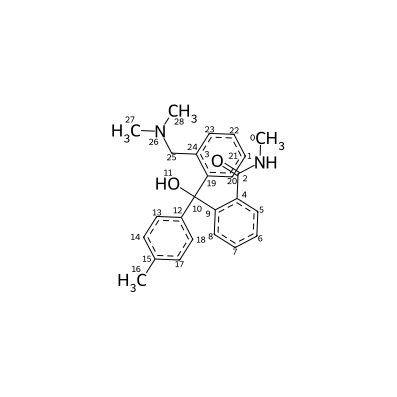 CNC(=O)c1ccccc1C(O)(c1ccc(C)cc1)c1ccccc1CN(C)C